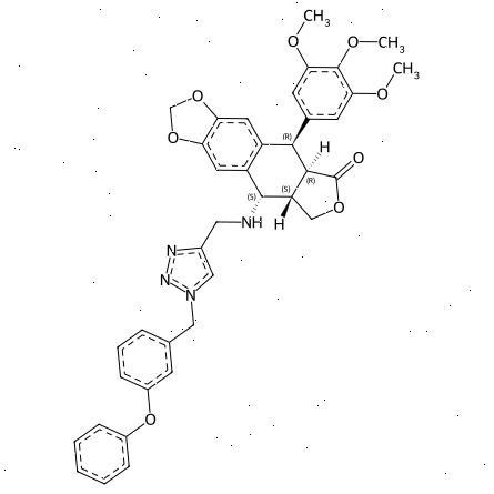 COc1cc([C@@H]2c3cc4c(cc3[C@@H](NCc3cn(Cc5cccc(Oc6ccccc6)c5)nn3)[C@H]3COC(=O)[C@H]23)OCO4)cc(OC)c1OC